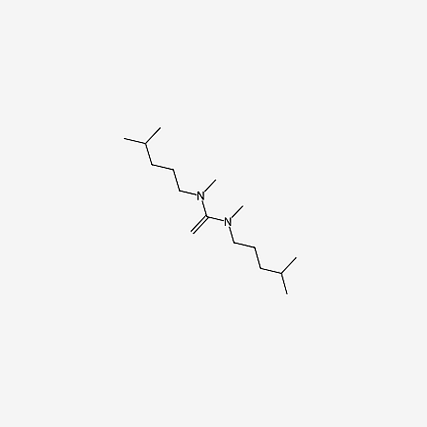 C=C(N(C)CCCC(C)C)N(C)CCCC(C)C